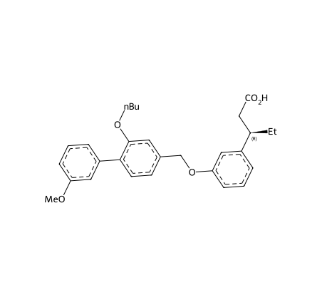 CCCCOc1cc(COc2cccc([C@H](CC)CC(=O)O)c2)ccc1-c1cccc(OC)c1